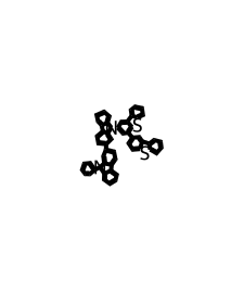 c1ccc(-n2c3ccccc3c3ccc(-c4ccc5c6ccccc6n(-c6cc(-c7ccc8sc9ccccc9c8c7)c7sc8ccccc8c7c6)c5c4)cc32)cc1